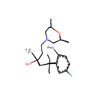 COc1ccc(F)cc1C(C)(C)CC(O)(CCN1CC(C)OC(C)C1)C(F)(F)F